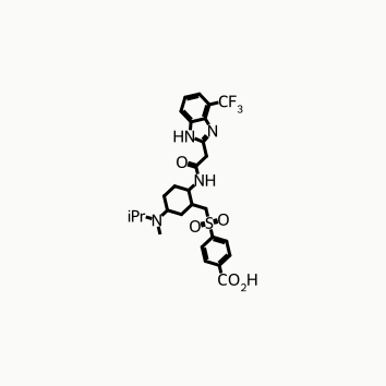 CC(C)N(C)C1CCC(NC(=O)Cc2nc3c(C(F)(F)F)cccc3[nH]2)C(CS(=O)(=O)c2ccc(C(=O)O)cc2)C1